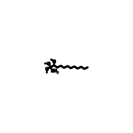 CCCCCCCCCCC(OC)C([SiH3])(OC)OC